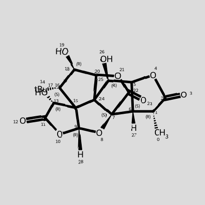 C[C@H]1C(=O)OC2[C@H]1[C@@]13O[C@@H]4OC(=O)[C@H](O)C45[C@H](C(C)(C)C)[C@@H](O)C(OC1=O)C53[C@H]2O